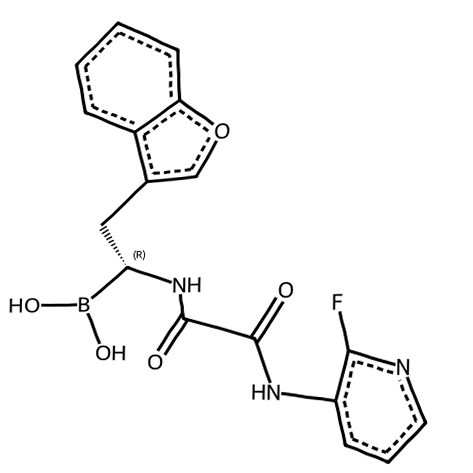 O=C(Nc1cccnc1F)C(=O)N[C@@H](Cc1coc2ccccc12)B(O)O